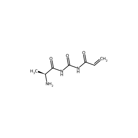 C=CC(=O)NC(=O)NC(=O)[C@H](C)N